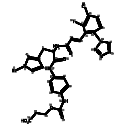 CCn1ccc(CC(NC(=O)C=Cc2c(-n3cnnn3)ccc(Cl)c2F)C(=O)Nc2ccc(NC(=O)OCCC(=O)O)cc2)n1